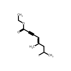 CCOC(=O)C#C/C=C(\C)CC(C)I